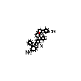 N#Cc1ccc2c3ccccc3n(-c3ccccc3C3CC=CC=C3c3ccc(C#N)c(-n4c5c(c6ccccc64)CC(C#N)CC=C5)c3)c2c1